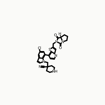 N#CC1(Cn2ccc3cc(Cl)cc(-c4ccnc5cc(CN6C(=O)[C@@H]7CCCN7C6=O)sc45)c32)CCNCC1